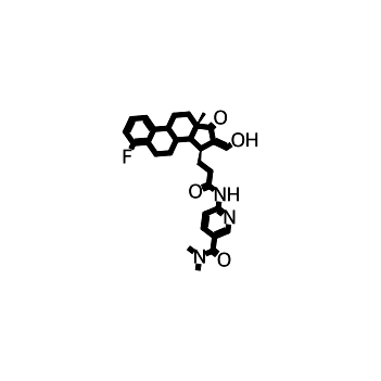 CN(C)C(=O)c1ccc(NC(=O)CC[C@@H]2/C(=C/O)C(=O)[C@@]3(C)CCC4c5cccc(F)c5CCC4C23)nc1